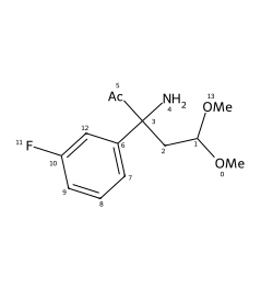 COC(CC(N)(C(C)=O)c1cccc(F)c1)OC